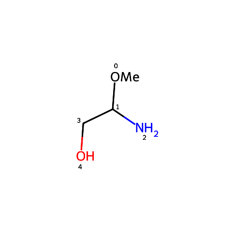 COC(N)CO